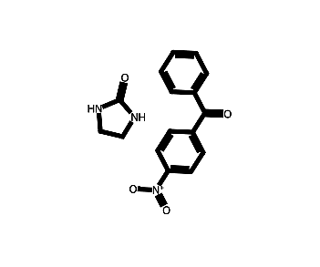 O=C(c1ccccc1)c1ccc([N+](=O)[O-])cc1.O=C1NCCN1